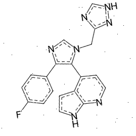 Fc1ccc(-c2ncn(Cc3nc[nH]n3)c2-c2ccnc3[nH]ccc23)cc1